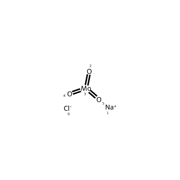 [Cl-].[Na+].[O]=[Mo](=[O])=[O]